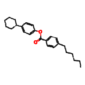 CCCCCCc1ccc(C(=O)Oc2ccc(C3CCCCC3)cc2)cc1